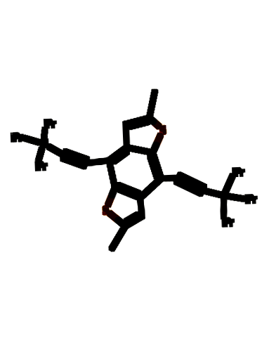 Cc1cc2c(C#C[Si](C(C)C)(C(C)C)C(C)C)c3sc(C)cc3c(C#CC(C(C)C)(C(C)C)C(C)C)c2s1